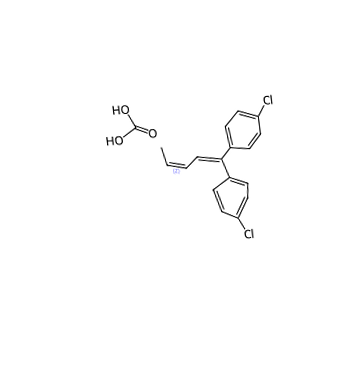 C/C=C\C=C(c1ccc(Cl)cc1)c1ccc(Cl)cc1.O=C(O)O